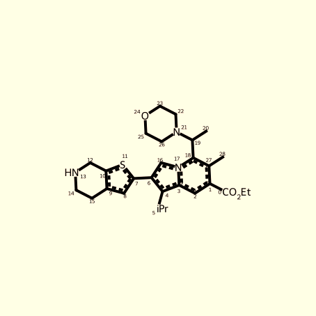 CCOC(=O)c1cc2c(C(C)C)c(-c3cc4c(s3)CNCC4)cn2c(C(C)N2CCOCC2)c1C